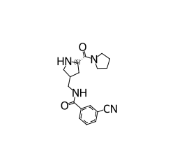 N#Cc1cccc(C(=O)NCC2CN[C@H](C(=O)N3CCCC3)C2)c1